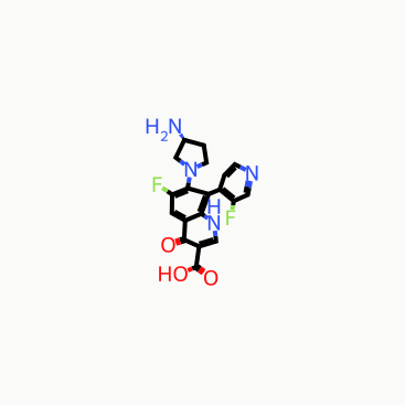 N[C@H]1CCN(c2c(F)cc3c(=O)c(C(=O)O)c[nH]c3c2-c2ccncc2F)C1